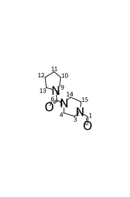 O=CN1CCN(C(=O)N2CCCCC2)CC1